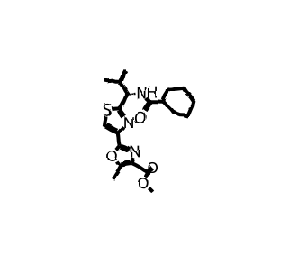 COC(=O)c1nc(-c2csc([C@@H](NC(=O)C3CCCCC3)C(C)C)n2)oc1C